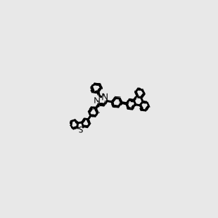 c1ccc(-c2nc(-c3ccc(-c4ccc5sc6ccccc6c5c4)cc3)cc(-c3ccc(-c4ccc5c6ccccc6c6ccccc6c5c4)cc3)n2)cc1